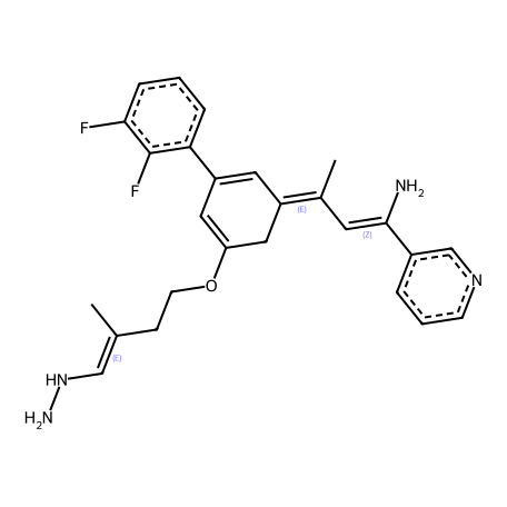 C/C(=C\NN)CCOC1=CC(c2cccc(F)c2F)=C/C(=C(C)/C=C(\N)c2cccnc2)C1